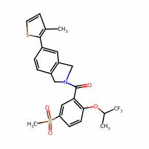 Cc1ccsc1-c1ccc2c(c1)CN(C(=O)c1cc(S(C)(=O)=O)ccc1OC(C)C(F)(F)F)C2